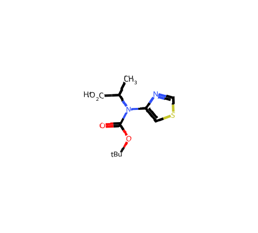 CC(C(=O)O)N(C(=O)OC(C)(C)C)c1cscn1